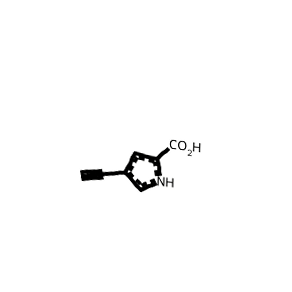 C#Cc1c[nH]c(C(=O)O)c1